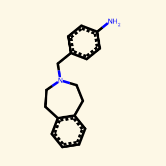 Nc1ccc(CN2CCc3ccccc3CC2)cc1